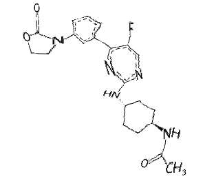 CC(=O)N[C@H]1CC[C@H](Nc2ncc(F)c(-c3cccc(N4CCOC4=O)c3)n2)CC1